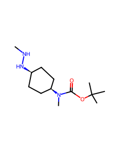 CNN[C@H]1CC[C@@H](N(C)C(=O)OC(C)(C)C)CC1